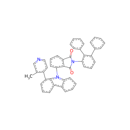 Cc1cnccc1-c1cccc2c3ccccc3n(-c3cccc4c3C(=O)N(c3cccc(-c5ccccc5)c3-c3ccccc3)C4=O)c12